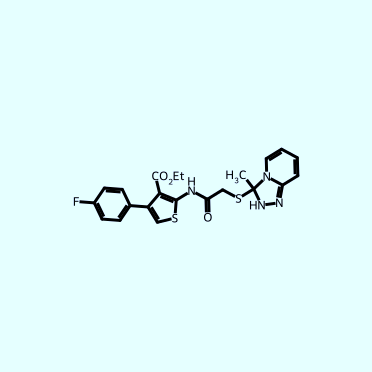 CCOC(=O)c1c(-c2ccc(F)cc2)csc1NC(=O)CSC1(C)NN=C2C=CC=CN21